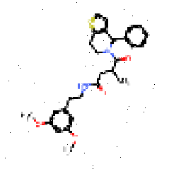 COc1cc(CCNC(=O)CC(C)C(=O)N2CCc3sccc3C2c2ccccc2)cc(OC)c1